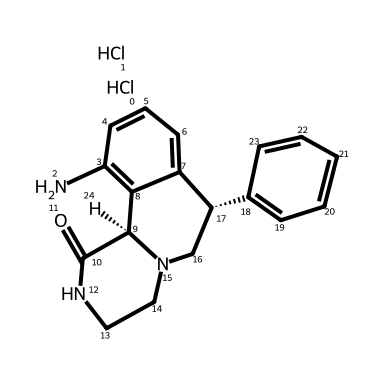 Cl.Cl.Nc1cccc2c1[C@@H]1C(=O)NCCN1C[C@H]2c1ccccc1